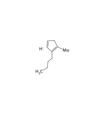 CCCCC1=[C]([Mo])CC=C1.[H-]